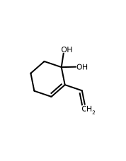 C=CC1=CCCCC1(O)O